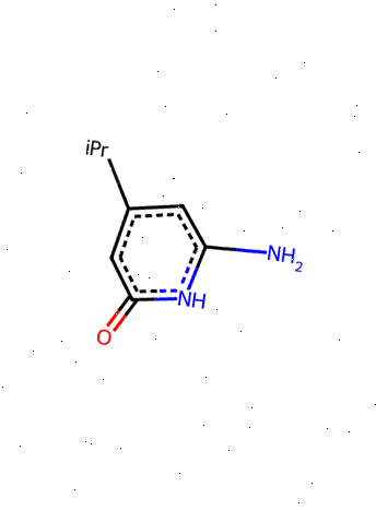 CC(C)c1cc(N)[nH]c(=O)c1